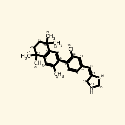 Cc1cc2c(cc1-c1ccc(/C=C3\CNCS3)cc1Cl)C(C)(C)CCC2(C)C